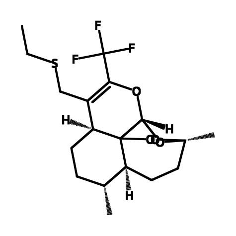 CCSCC1=C(C(F)(F)F)O[C@@H]2O[C@]3(C)CC[C@H]4[C@H](C)CC[C@@H]1C24OO3